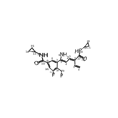 C=C/C(=C\C=C(/N)c1cc(C(=O)NC2CC2)cc(F)c1CF)C(=O)PC1CC1